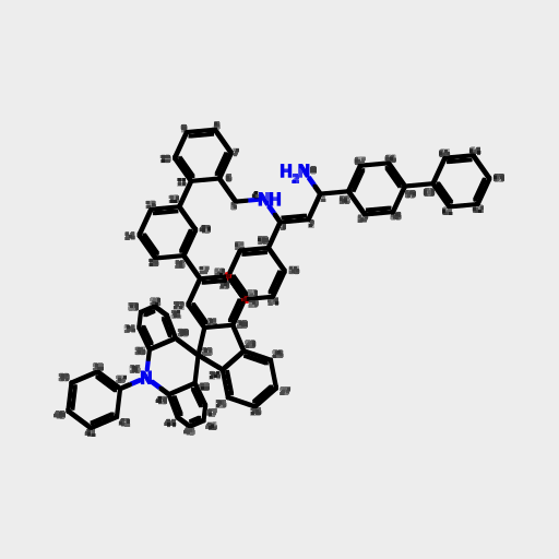 NC(/C=C(\NCc1ccccc1-c1cccc(-c2ccc3c(c2)C2(c4ccccc4-3)c3ccccc3N(c3ccccc3)c3ccccc32)c1)c1ccccc1)c1ccc(-c2ccccc2)cc1